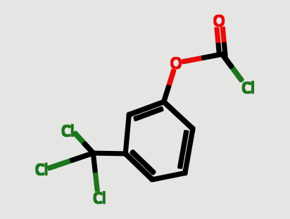 O=C(Cl)Oc1cccc(C(Cl)(Cl)Cl)c1